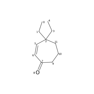 CCC1(CC)C=CC(=O)CCC1